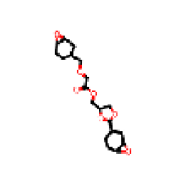 O=C(COCC1CCC2OC2C1)OCC1COC(C2CCC3OC3C2)O1